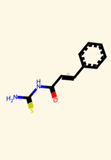 NC(=S)NC(=O)/C=C/c1ccccc1